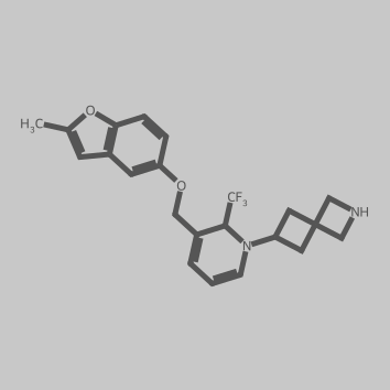 Cc1cc2cc(OCC3=CC=CN(C4CC5(CNC5)C4)C3C(F)(F)F)ccc2o1